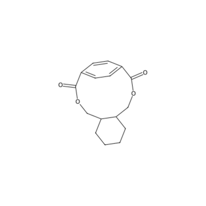 O=C1OCC2CCCCC2COC(=O)c2ccc1cc2